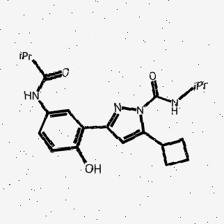 CC(C)NC(=O)n1nc(-c2cc(NC(=O)C(C)C)ccc2O)cc1C1CCC1